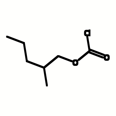 CCCC(C)COC(=O)Cl